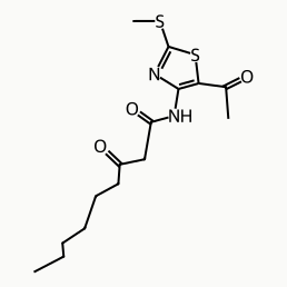 CCCCCCC(=O)CC(=O)Nc1nc(SC)sc1C(C)=O